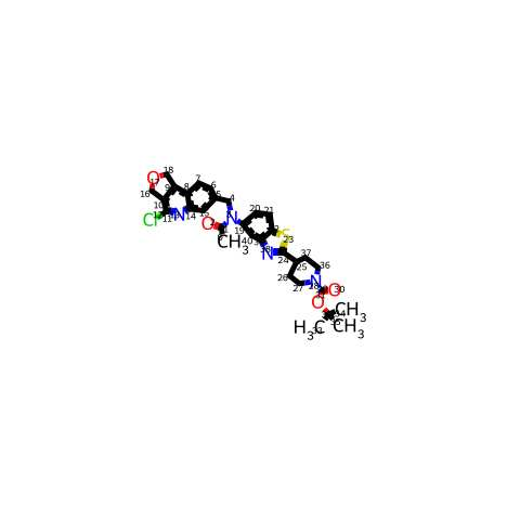 CC(=O)N(Cc1ccc2c3c(c(Cl)nc2c1)COC3)c1ccc2sc(C3CCN(C(=O)OC(C)(C)C)CC3)nc2c1